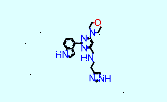 c1cc(-c2nc(CNCCc3c[nH]cn3)cc(N3CCOCC3)n2)c2cc[nH]c2c1